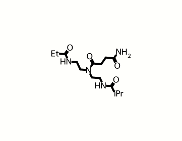 CCC(=O)NCCN(CCNC(=O)C(C)C)C(=O)CCC(N)=O